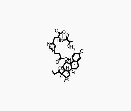 CCC(=O)[C@@]1(C)[C@H](C)C[C@H]2[C@@H]3CCC4=CC(=O)C=C[C@]4(C)[C@H]3[C@@H](OC(=O)CCn3cnc(CC(NC(=O)C(C)N)C(=O)O)c3)C[C@@]21C